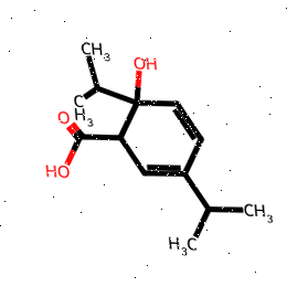 CC(C)C1=CC(C(=O)O)C(O)(C(C)C)C=C1